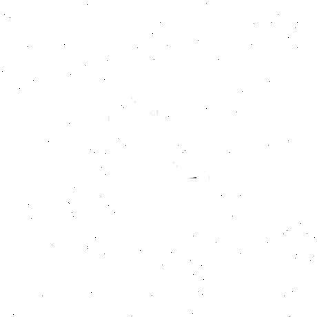 C[C@@H](c1ccc(Br)cc1)N1CC[C@](CC(C)(C)NC(=O)C(C)(C)C)(c2ccccc2)OC1=O